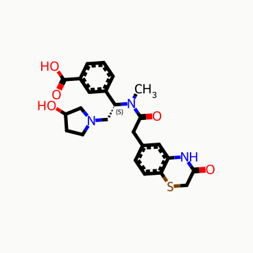 CN(C(=O)Cc1ccc2c(c1)NC(=O)CS2)[C@H](CN1CCC(O)C1)c1cccc(C(=O)O)c1